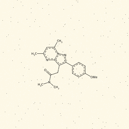 COc1ccc(-c2nn3c(C)cc(C)nc3c2CC(=O)N(C)C)cc1